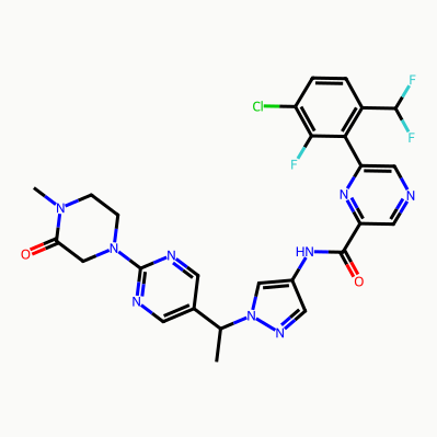 CC(c1cnc(N2CCN(C)C(=O)C2)nc1)n1cc(NC(=O)c2cncc(-c3c(C(F)F)ccc(Cl)c3F)n2)cn1